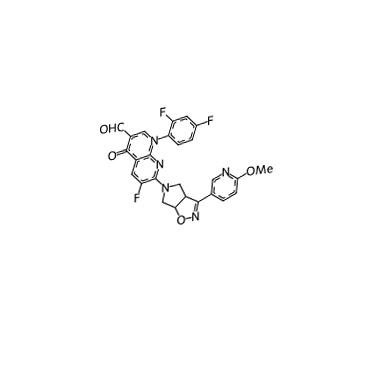 COc1ccc(C2=NOC3CN(c4nc5c(cc4F)c(=O)c(C=O)cn5-c4ccc(F)cc4F)CC23)cn1